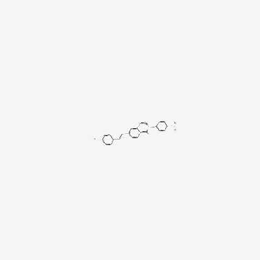 COc1ccc(/C=C/c2ccc3c(=O)n(-c4ccc([N+](=O)[O-])cc4)ncc3c2)cc1